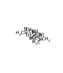 CCC(C)(O[Si](C)(C)C(C)(CC)O[SiH](C)C)[SiH](C)C